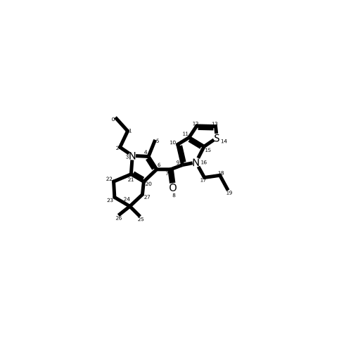 CCCn1c(C)c(C(=O)c2cc3ccsc3n2CCC)c2c1CCC(C)(C)C2